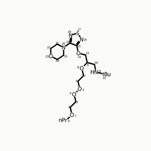 CCCOCCOOCCOC(CNC(C)(C)C)COc1nsnc1N1CCOCC1